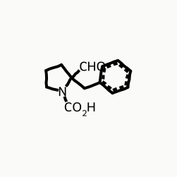 O=CC1(Cc2ccccc2)CCCN1C(=O)O